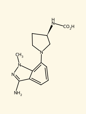 Cn1nc(N)c2cccc(N3CC[C@@H](NC(=O)O)C3)c21